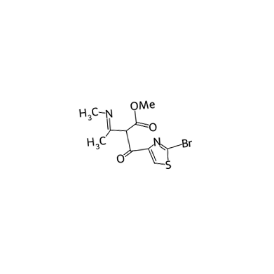 C/N=C(\C)C(C(=O)OC)C(=O)c1csc(Br)n1